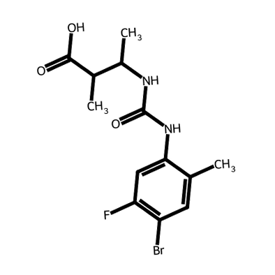 Cc1cc(Br)c(F)cc1NC(=O)NC(C)C(C)C(=O)O